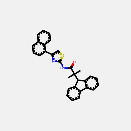 CC(C)(C(=O)Nc1nc(-c2cccc3ccccc23)cs1)C1c2ccccc2-c2ccccc21